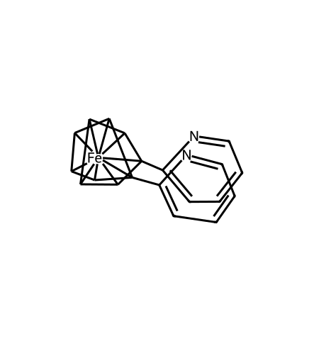 c1ccc([C]23[CH]4[CH]5[CH]6[CH]2[Fe]56432789[CH]3[CH]2[CH]7[C]8(c2ccccn2)[CH]39)nc1